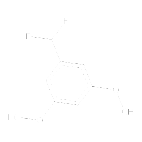 COc1cc(OC)cc(C(F)F)c1